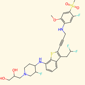 COc1cc(S(C)(=O)=O)c(F)cc1NCC#Cc1sc2c(NC3CCN(CC(O)CO)CC3F)cccc2c1CC(F)F